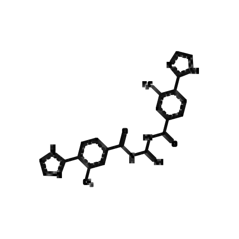 N=C(NC(=O)c1ccc(-c2ncc[nH]2)c(C(F)(F)F)c1)NC(=O)c1ccc(-c2ncc[nH]2)c(C(F)(F)F)c1